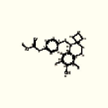 COC(=O)Cc1ccc(CN2c3cc(C)c(O)c(C)c3CCC23CCC3)cc1